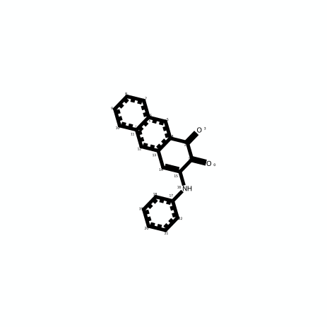 O=C1C(=O)c2cc3ccccc3cc2C=C1Nc1ccccc1